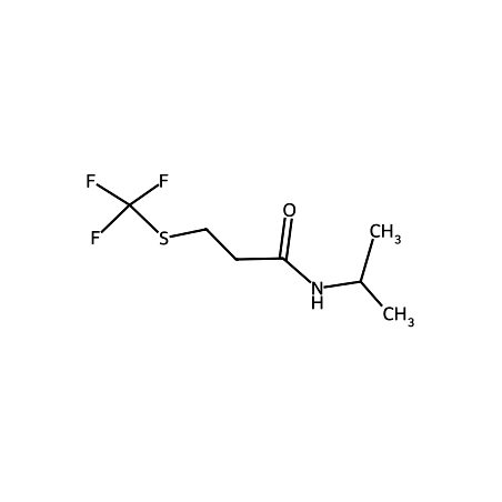 CC(C)NC(=O)CCSC(F)(F)F